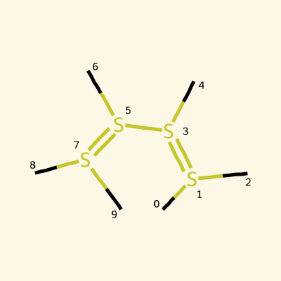 CS(C)=S(C)S(C)=S(C)C